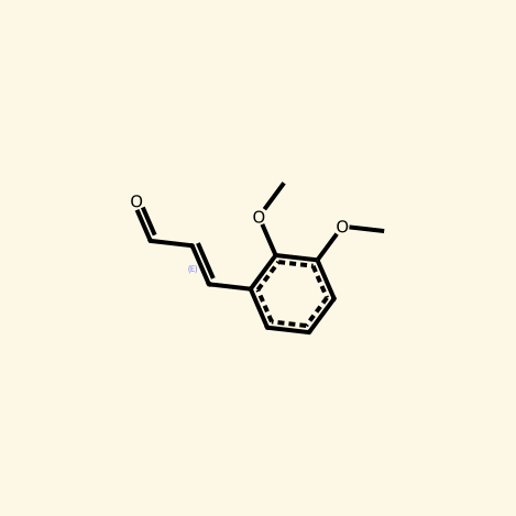 COc1cccc(/C=C/C=O)c1OC